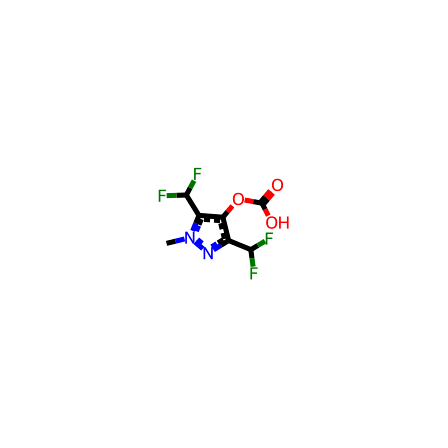 Cn1nc(C(F)F)c(OC(=O)O)c1C(F)F